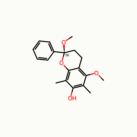 COc1c(C)c(O)c(C)c2c1CC[C@@](OC)(c1ccccc1)O2